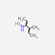 C/C=C(NS)/C(C)=C/C